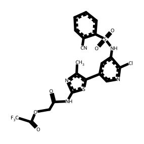 Cc1nc(NC(=O)COC(=O)C(F)(F)F)sc1-c1cnc(Cl)c(NS(=O)(=O)c2ccccc2C#N)c1